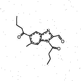 CCCC(=O)c1cc2nc(C=O)n(C(=O)CCC)c2cc1C